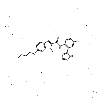 CCCCOc1ccc2cc(C(=O)Nc3ccc(Cl)cc3-c3nnn[nH]3)n(C)c2c1